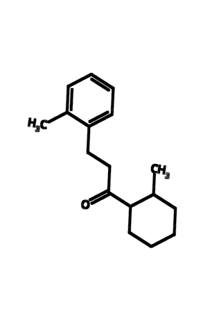 Cc1ccccc1CCC(=O)C1CCCCC1C